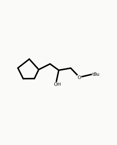 CC(C)(C)OCC(O)CC1CCCC1